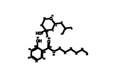 CC(C)CC1CC(C)(O)CCO1.CCCCCCOC(=O)c1ccccc1O